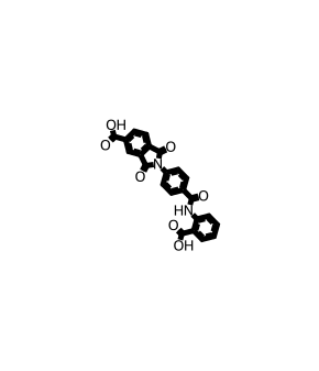 O=C(O)c1ccc2c(c1)C(=O)N(c1ccc(C(=O)Nc3ccccc3C(=O)O)cc1)C2=O